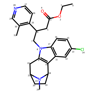 CCOC(=O)CC(Cn1c2c(c3cc(Cl)ccc31)C1CCC(C2)N1C)c1ccncc1C